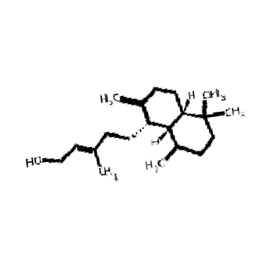 C=C1CC[C@H]2[C@H](C(C)CCC2(C)C)[C@@H]1CC/C(C)=C/CO